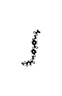 C=C(C)C(=O)OCCOc1ccc(C(=O)Oc2ccc(OCCOC(=O)C(=C)CC(=O)OCC)cc2)cc1